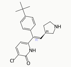 CC(C)(C)c1ccc(/C(=C\[C@H]2CCNC2)c2ccc(Cl)c(=O)[nH]2)cc1